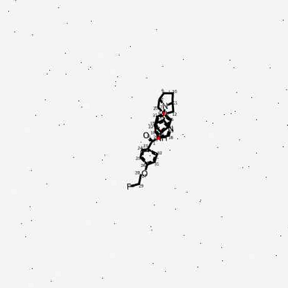 O=C(Nc1ccc(N2C3CCC2CN(c2ccccn2)C3)cc1)c1ccc(OCCF)cc1